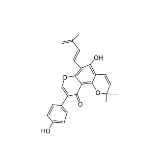 C=C(C)/C=C/c1c(O)c2c(c3c(=O)c(-c4ccc(O)cc4)coc13)OC(C)(C)C=C2